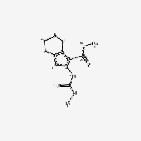 CCNC(=O)Nc1sc2c(c1C(=O)OC(C)(C)C)CCCC2